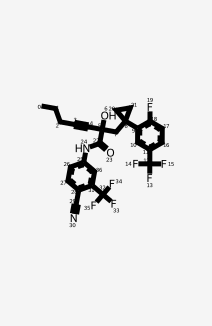 CCCC#CC(O)(CC1(c2cc(C(F)(F)F)ccc2F)CC1)C(=O)Nc1ccc(C#N)c(C(F)(F)F)c1